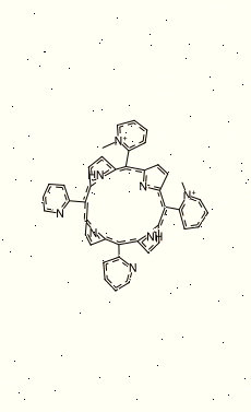 C[n+]1ccccc1-c1c2nc(c(-c3cccc[n+]3C)c3ccc([nH]3)c(-c3ccccn3)c3nc(c(-c4ccccn4)c4ccc1[nH]4)C=C3)C=C2